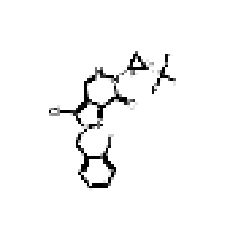 O=c1c2nn(Cc3ccccc3F)c(Cl)c2cnn1[C@@H]1C[C@@H]1C(F)(F)F